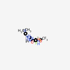 CC(C)n1c(=O)c(-c2cc(F)c(NS(=O)(=O)CCC(F)(F)F)c(F)c2)nc2cnc(N[C@H]3CC[C@H](N(C)C)CC3)nc21